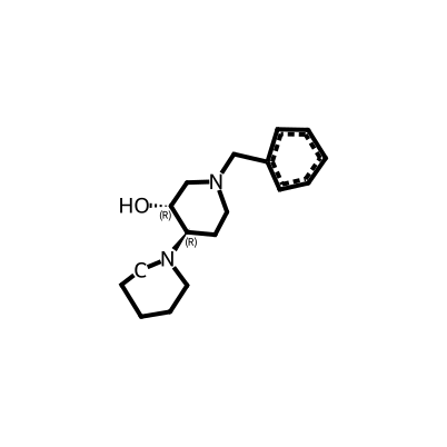 O[C@@H]1CN(Cc2ccccc2)CC[C@H]1N1CCCCC1